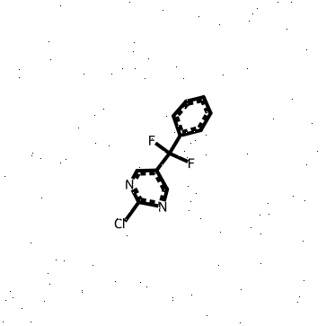 FC(F)(c1ccccc1)c1cnc(Cl)nc1